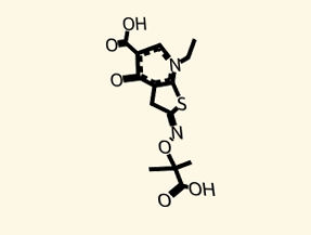 CCn1cc(C(=O)O)c(=O)c2c1SC(=NOC(C)(C)C(=O)O)C2